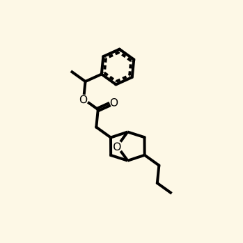 CCCC1CC2OC1CC2CC(=O)OC(C)c1ccccc1